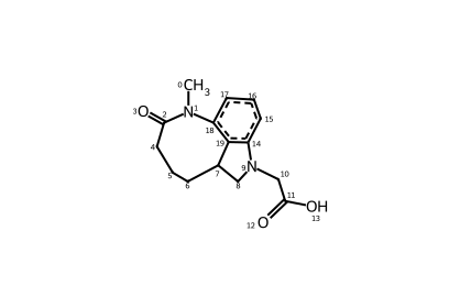 CN1C(=O)CCCC2CN(CC(=O)O)c3cccc1c32